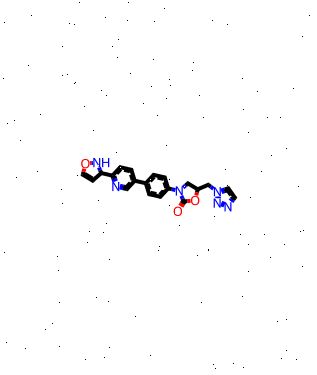 O=C1OC(Cn2ccnn2)CN1c1ccc(-c2ccc(C3C=CON3)nc2)cc1